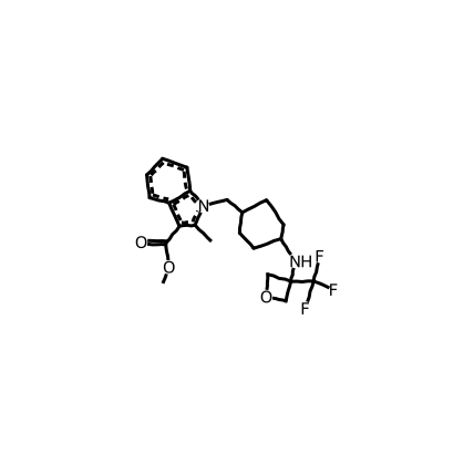 COC(=O)c1c(C)n(CC2CCC(NC3(C(F)(F)F)COC3)CC2)c2ccccc12